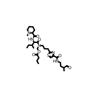 CCCC(=O)OCN(CCCc1nc(C(=O)NCCC(C)C=O)cs1)C(=O)C(NC(=O)C1CCCCN1C)C(C)CC